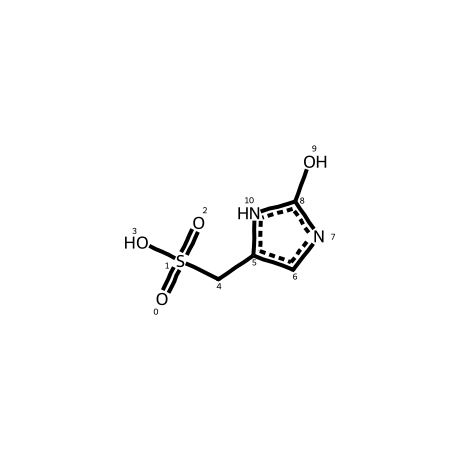 O=S(=O)(O)Cc1cnc(O)[nH]1